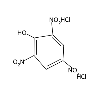 Cl.Cl.O=[N+]([O-])c1cc([N+](=O)[O-])c(O)c([N+](=O)[O-])c1